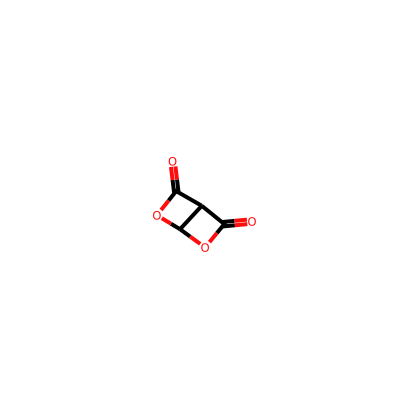 O=C1OC2OC(=O)C12